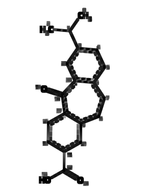 CC(C)c1ccc2ccc3cc(C(=O)O)ccc3c(=O)c2c1